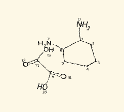 NC1CCCCC1N.O=C(O)C(=O)O